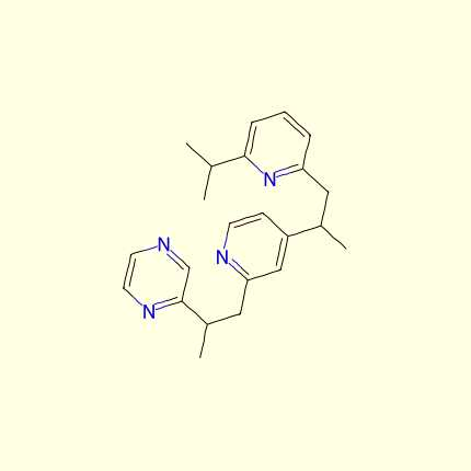 CC(C)c1cccc(CC(C)c2ccnc(CC(C)c3cnccn3)c2)n1